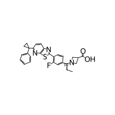 CC[C@@H](c1ccc(-c2nc3ccc(C4(c5ccccc5)CC4)nc3s2)c(F)c1)N1CC(C(=O)O)C1